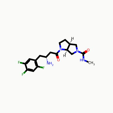 CNC(=O)N1C[C@@H]2CCN(C(=O)C[C@H](N)Cc3cc(F)c(F)cc3F)[C@@H]2C1